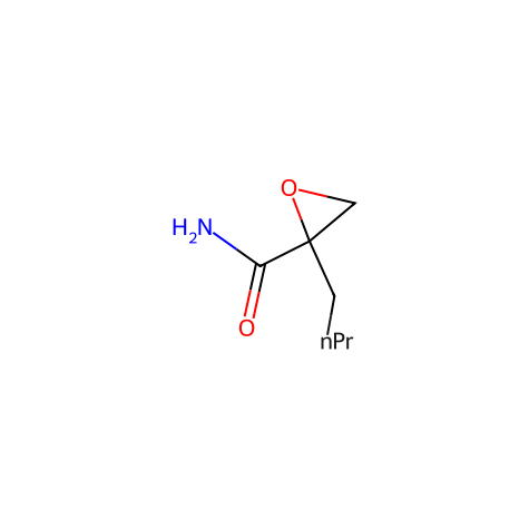 CCCCC1(C(N)=O)CO1